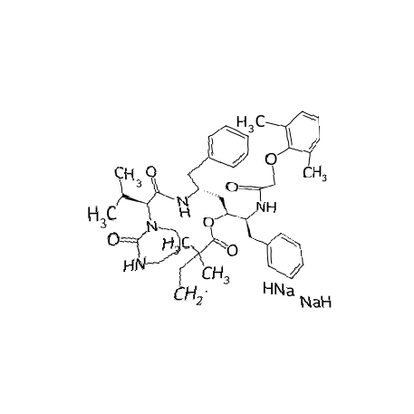 [CH2]CC(C)(C)C(=O)O[C@@H](C[C@@H](Cc1ccccc1)NC(=O)[C@H](C(C)C)N1CCCNC1=O)[C@H](Cc1ccccc1)NC(=O)COc1c(C)cccc1C.[NaH].[NaH]